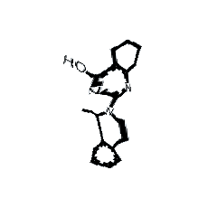 CC1c2ccccc2CCN1c1nc(O)c2c(n1)CCCC2